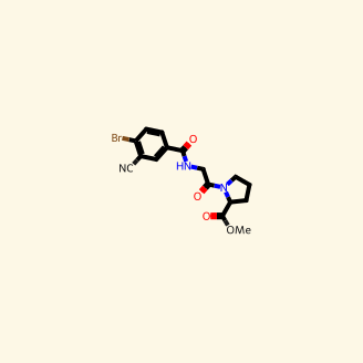 COC(=O)C1CCCN1C(=O)CNC(=O)c1ccc(Br)c(C#N)c1